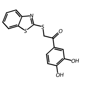 O=C(CSc1nc2ccccc2s1)c1ccc(O)c(O)c1